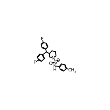 Cc1ccc(NS(=O)(=O)N2CCCC(C(c3ccc(F)cc3)c3ccc(F)cc3)C2)cc1